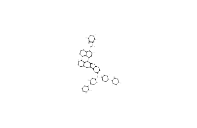 c1ccc(-c2ccc(N(c3ccc(-c4ccccc4)cc3)c3ccc4oc5c(-c6ccc(-c7nc8ccccc8o7)c7ccccc67)c6ccccc6cc5c4c3)cc2)cc1